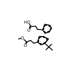 COC(=O)CCc1cccc(C(C)(C)C)c1.O=C(O)CCc1ccccc1